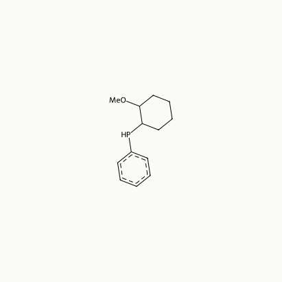 COC1CCCCC1Pc1ccccc1